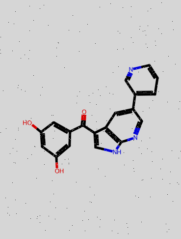 O=C(c1cc(O)cc(O)c1)c1c[nH]c2ncc(-c3cccnc3)cc12